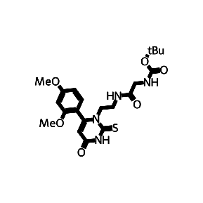 COc1ccc(-c2cc(=O)[nH]c(=S)n2CCNC(=O)CNC(=O)OC(C)(C)C)c(OC)c1